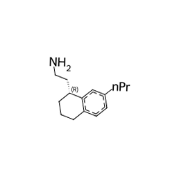 CCCc1ccc2c(c1)[C@@H](CCN)CCC2